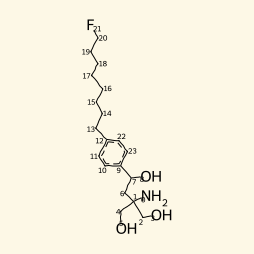 NC(CO)(CO)CC(O)c1ccc(CCCCCCCCF)cc1